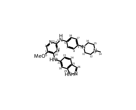 COc1cnc(Nc2ccc(N3CCN(C)CC3)cc2)nc1Nc1ccc2cn[nH]c2c1